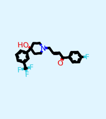 O=C(C=CCN1CCC(O)(c2cccc(C(F)(F)F)c2)CC1)c1ccc(F)cc1